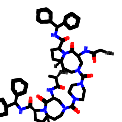 CNCC(=O)N[C@H]1CN(C(=O)N2CCN(C(=O)N3CC[C@H]4CC[C@@H](C(=O)NC(c5ccccc5)c5ccccc5)N4C(=O)[C@@H](NC(=O)[C@H](C)NC)C3)CC2)CC[C@H]2CCC(C(=O)NC(c3ccccc3)c3ccccc3)N2C1=O